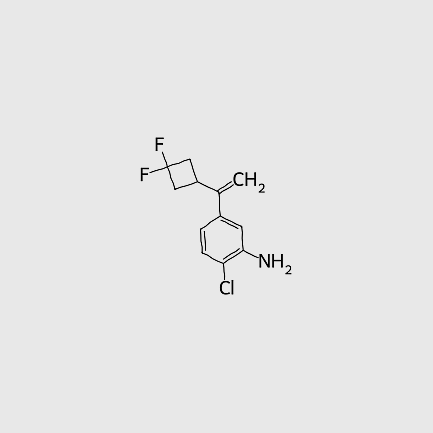 C=C(c1ccc(Cl)c(N)c1)C1CC(F)(F)C1